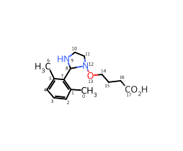 Cc1cccc(C)c1C1NCCN1OCCCC(=O)O